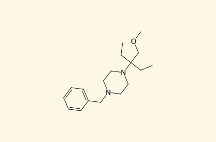 CCC(CC)(COC)N1CCN(Cc2ccccc2)CC1